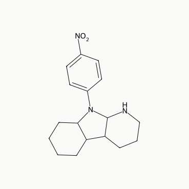 O=[N+]([O-])c1ccc(N2C3CCCCC3C3CCCNC32)cc1